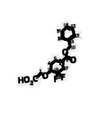 O=C(O)COC1CCN(C(=O)OCc2ccccc2)CC1(F)F